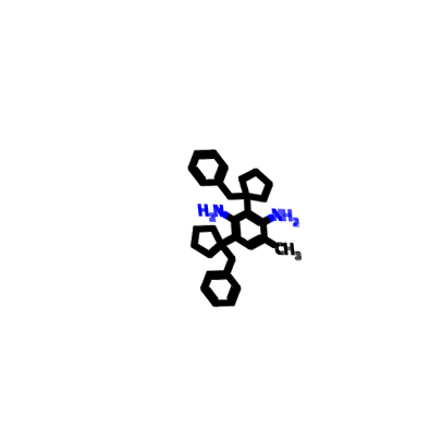 Cc1cc(C2(Cc3ccccc3)CCCC2)c(N)c(C2(Cc3ccccc3)CCCC2)c1N